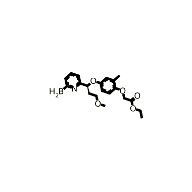 Bc1cccc([C@H](CCOC)Oc2ccc(OCC(=O)OCC)c(C)c2)n1